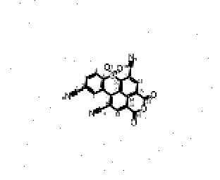 N#Cc1ccc2c(c1)-c1c(C#N)cc3c4c(cc(C#N)c(c14)S2(=O)=O)C(=O)OC3=O